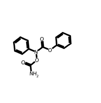 NC(=O)ON(C(=O)Oc1ccccc1)c1ccccc1